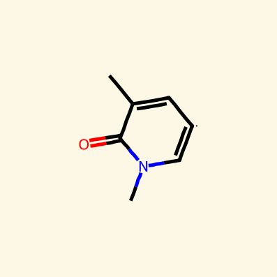 Cc1c[c]cn(C)c1=O